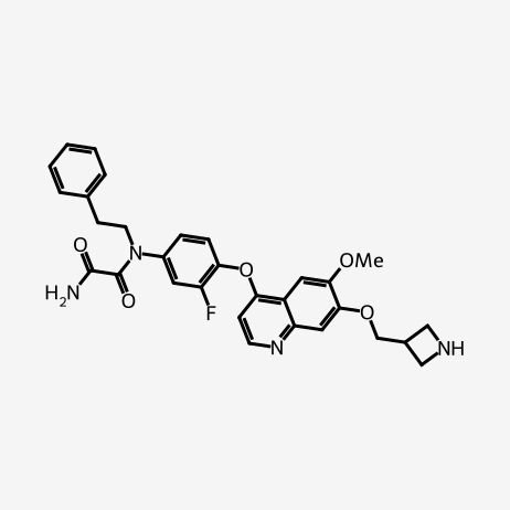 COc1cc2c(Oc3ccc(N(CCc4ccccc4)C(=O)C(N)=O)cc3F)ccnc2cc1OCC1CNC1